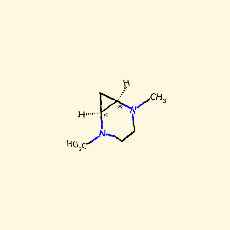 CN1CCN(C(=O)O)[C@H]2C[C@H]21